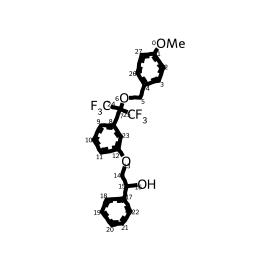 COc1ccc(COC(c2cccc(OCC(O)c3ccccc3)c2)(C(F)(F)F)C(F)(F)F)cc1